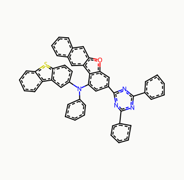 c1ccc(-c2nc(-c3ccccc3)nc(-c3cc(N(c4ccccc4)c4ccc5sc6ccccc6c5c4)c4c(c3)oc3cc5ccccc5cc34)n2)cc1